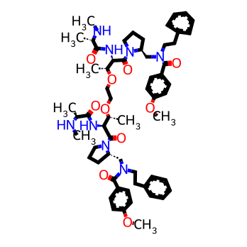 CN[C@@H](C)C(=O)N[C@H](C(=O)N1CCC[C@H]1CN(CCc1ccccc1)C(=O)c1ccc(OC)cc1)[C@@H](C)OCCO[C@H](C)[C@H](NC(=O)[C@H](C)NC)C(=O)N1CCC[C@H]1CN(CCc1ccccc1)C(=O)c1ccc(OC)cc1